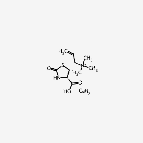 C=CC[N+](C)(C)C.O=C1N[C@H](C(=O)O)CS1.[CaH2]